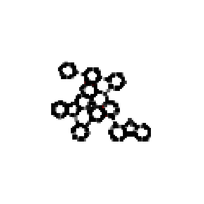 c1ccc(-c2ccc(-c3ccccc3N(c3ccc(-c4cccc5c4oc4ccccc45)cc3)c3ccccc3-c3cccc(-c4ccccc4-n4c5ccccc5c5ccccc54)c3)cc2)cc1